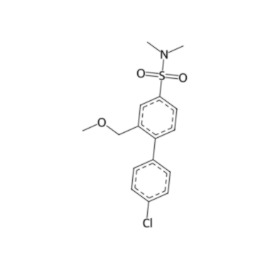 COCc1cc(S(=O)(=O)N(C)C)ccc1-c1ccc(Cl)cc1